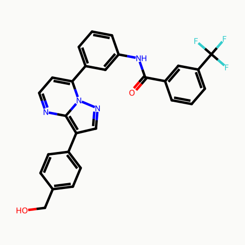 O=C(Nc1cccc(-c2ccnc3c(-c4ccc(CO)cc4)cnn23)c1)c1cccc(C(F)(F)F)c1